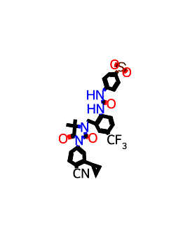 CC1(C)C(=O)N(c2ccc(C#N)c(C3CC3)c2)C(=O)N1Cc1cc(C(F)(F)F)ccc1NC(=O)Nc1ccc(S(C)(=O)=O)cc1